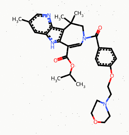 Cc1cnc2c3c([nH]c2c1)C(C(=O)OC(C)C)=CN(C(=O)c1ccc(OCCN2CCOCC2)cc1)CC3(C)C